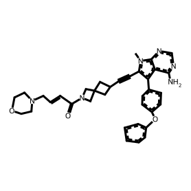 Cn1c(C#CC2CC3(C2)CN(C(=O)/C=C/CN2CCOCC2)C3)c(-c2ccc(Oc3ccccc3)cc2)c2c(N)ncnc21